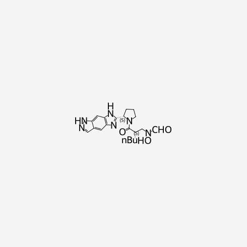 CCCC[C@@H](CN(O)C=O)C(=O)N1CCC[C@H]1c1nc2cc3cn[nH]c3cc2[nH]1